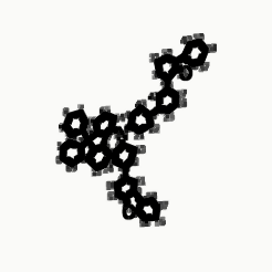 c1ccc(C2(c3ccccc3)c3ccccc3-c3c(N(c4ccc(-c5cccc(-c6cccc7c6oc6ccccc67)c5)cc4)c4ccc(-c5ccc6oc7ccccc7c6c5)cc4)cccc32)cc1